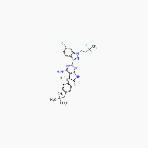 CC(C)(Cc1ccc([C@]2(C)C(=O)Nc3nc(-c4nn(CCC(F)(F)C(F)(F)F)c5cc(Cl)ccc45)nc(N)c32)cc1)C(=O)O